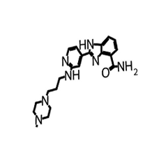 CN1CCN(CCCNc2cc(-c3nc4c(C(N)=O)cccc4[nH]3)ccn2)CC1